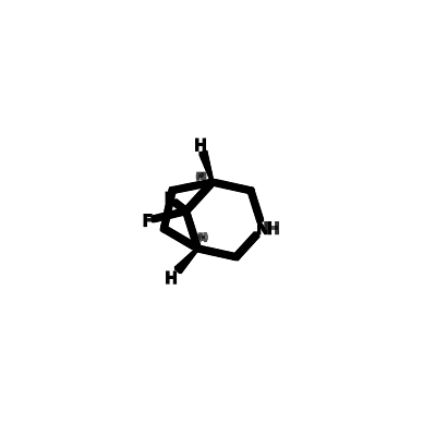 FC1(F)[C@@H]2CC[C@H]1CNC2